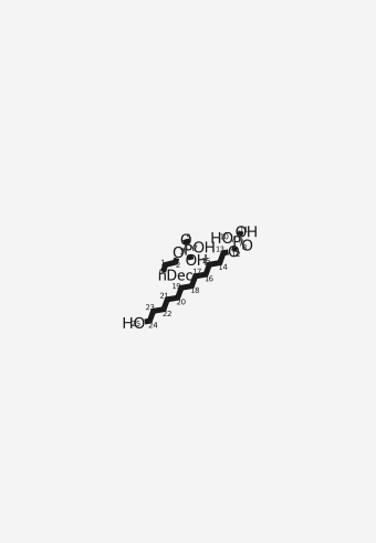 CCCCCCCCCCCCOP(=O)(O)O.O=P(O)(O)OCCCCCCCCCCCCO